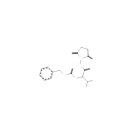 CC(C)C(NC(=O)OCc1ccccc1)C(=O)ON1C(=O)CCC1=O